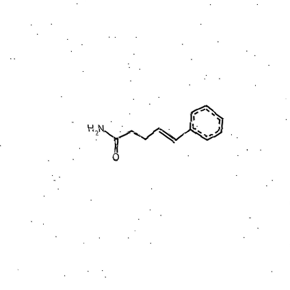 NC(=O)CCC=Cc1ccccc1